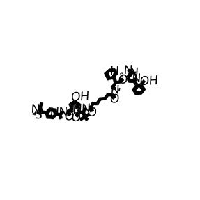 Cc1ncsc1-c1ccc(C(C)NC(=O)C2CC(O)CN2C(=O)C(NC(=O)CCCCCC(=O)N(C)CC(COc2cc(-c3ccccc3O)nnc2N)c2ccccc2)C(C)(C)C)cc1